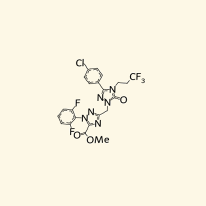 COC(=O)c1nc(Cn2nc(-c3ccc(Cl)cc3)n(CCC(F)(F)F)c2=O)nn1-c1c(F)cccc1F